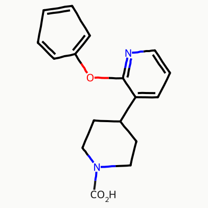 O=C(O)N1CCC(c2cccnc2Oc2ccccc2)CC1